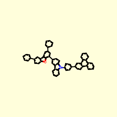 c1ccc(-c2ccc3oc4c(-c5ccc6c(c5)c5ccccc5n6-c5ccc(-c6ccc7c8ccccc8c8ccccc8c7c6)cc5)cc(-c5ccccc5)cc4c3c2)cc1